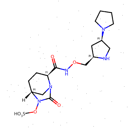 O=C(NOC[C@H]1C[C@@H](N2CCCC2)CN1)[C@@H]1CC[C@@H]2CN1C(=O)N2OS(=O)(=O)O